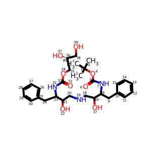 CC(C)(C)OC(=O)NC(Cc1ccccc1)C(O)CNCC(O)C(Cc1ccccc1)NC(=O)OC[C@H](O)CO